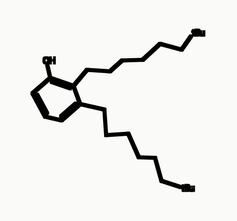 CC(C)(C)CCCCCCc1cccc(O)c1CCCCCCC(C)(C)C